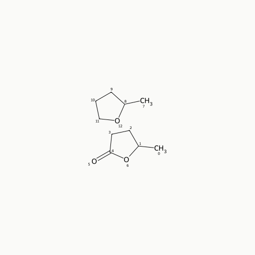 CC1CCC(=O)O1.CC1CCCO1